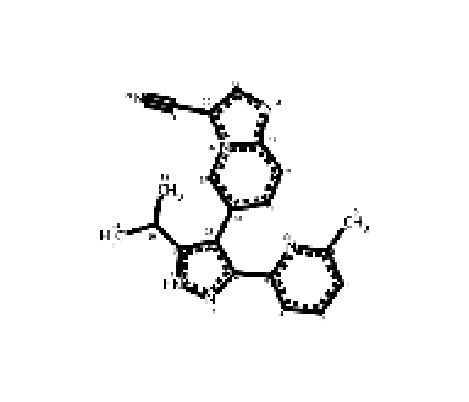 Cc1cccc(-c2n[nH]c(C(C)C)c2-c2ccc3ncc(C#N)n3c2)n1